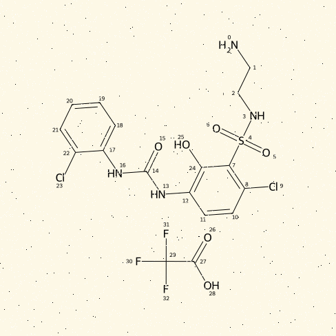 NCCNS(=O)(=O)c1c(Cl)ccc(NC(=O)Nc2ccccc2Cl)c1O.O=C(O)C(F)(F)F